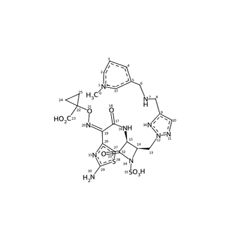 C[n+]1cccc(CNCc2cnn(C[C@@H]3[C@H](NC(=O)/C(=N\OC4(C(=O)O)CC4)c4csc(N)n4)C(=O)N3S(=O)(=O)O)n2)c1